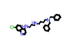 Clc1ccc2c(NCCCNCCCCN(Cc3ccccc3)Cc3ccccc3)ccnc2c1